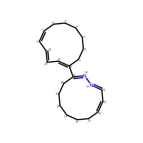 C1=C\CCCCCCC(/C2=N/N=C/C=C\CCCCCC2)=C/C=C/1